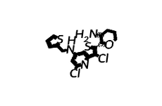 N[C@@H]1CCCO[C@@H]1c1sc2c(NCc3cccs3)cc(Cl)nc2c1Cl